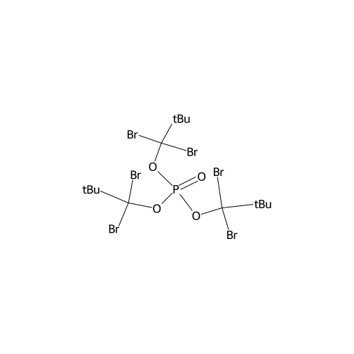 CC(C)(C)C(Br)(Br)OP(=O)(OC(Br)(Br)C(C)(C)C)OC(Br)(Br)C(C)(C)C